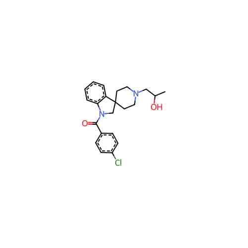 CC(O)CN1CCC2(CC1)CN(C(=O)c1ccc(Cl)cc1)c1ccccc12